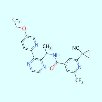 CC(NC(=O)c1cc(C(F)(F)F)nc(C2(C#N)CC2)c1)c1nccnc1-c1ccc(OCC(F)(F)F)cn1